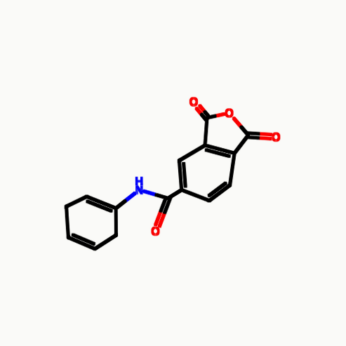 O=C(NC1=CCC=CC1)c1ccc2c(c1)C(=O)OC2=O